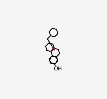 Oc1ccc2c(c1)CCC13CCCCC21CCN(CC1CCCCC1)C3